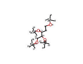 C[Si](C)(C)OCCC(O[Si](C)(C)C)C(CO[Si](C)(C)C)O[Si](C)(C)C